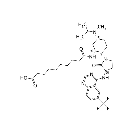 CC(C)N(C)[C@@H]1CC[C@H](N2CC[C@H](Nc3ncnc4ccc(C(F)(F)F)cc34)C2=O)[C@H](NC(=O)CCCCCCCCC(=O)O)C1